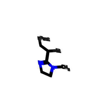 CCCCCCC(CC)C1=NCCN1C